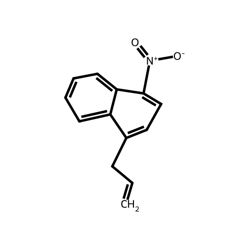 C=CCc1ccc([N+](=O)[O-])c2ccccc12